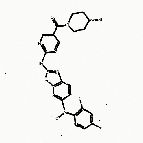 CN(c1ccc2nc(Nc3ccc(C(=O)N4CCC(N)CC4)cn3)sc2n1)c1ccc(F)cc1F